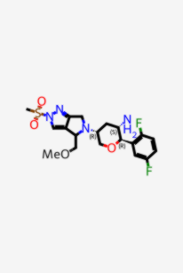 COCC1c2cn(S(C)(=O)=O)nc2CN1[C@H]1CO[C@H](c2cc(F)ccc2F)[C@@H](N)C1